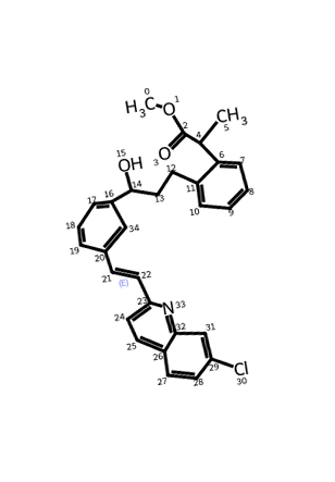 COC(=O)C(C)c1ccccc1CCC(O)c1cccc(/C=C/c2ccc3ccc(Cl)cc3n2)c1